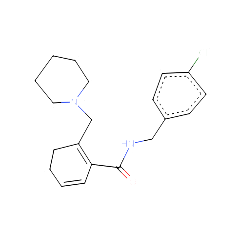 O=C(NCc1ccc(Cl)cc1)C1=C(CN2CCCCC2)CCC=C1